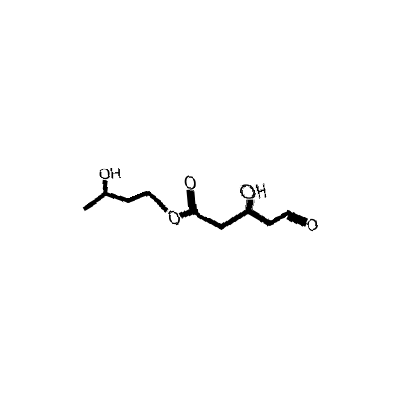 CC(O)CCOC(=O)CC(O)CC=O